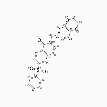 O=c1c2ccc(S(=O)(=O)c3ccccc3)cc2cnn1Cc1ccc2c(c1)OCCO2